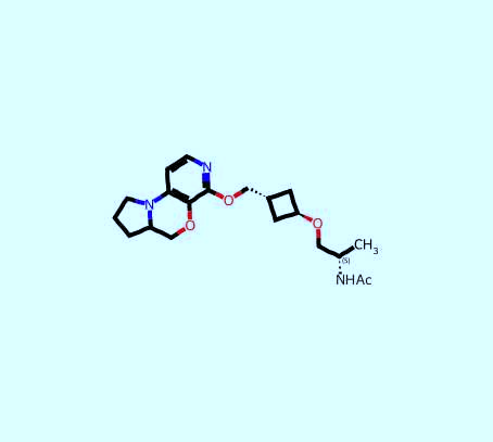 CC(=O)N[C@@H](C)CO[C@H]1C[C@H](COc2nccc3c2OCC2CCCN32)C1